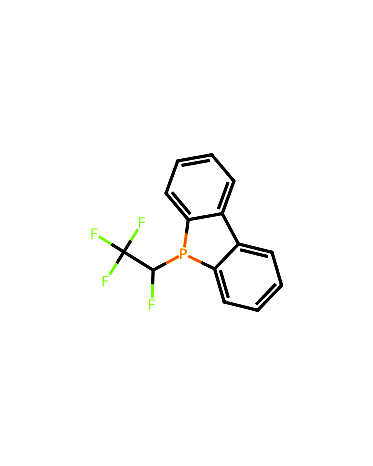 FC(p1c2ccccc2c2ccccc21)C(F)(F)F